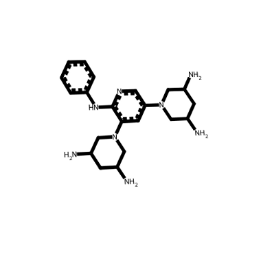 NC1CC(N)CN(c2cnc(Nc3ccccc3)c(N3CC(N)CC(N)C3)c2)C1